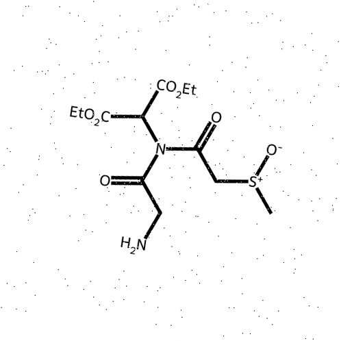 CCOC(=O)C(C(=O)OCC)N(C(=O)CN)C(=O)C[S+](C)[O-]